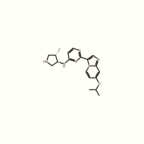 CC(C)Oc1ccn2c(-c3nccc(N[C@H]4CNC[C@@H]4F)n3)cnc2c1